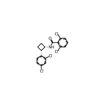 O=C(N[C@H]1CC[C@H]1c1ccc(Cl)cc1Cl)c1c(Cl)cccc1Cl